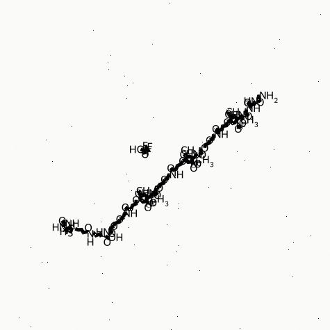 COc1cc(C(C)NC(=O)CNC(=O)CNC(=O)CN)c([N+](=O)[O-])cc1OCCCC(=O)NCCOCCOCC(=O)NC(C)c1cc(OC)c(OCCCC(=O)NCCOCCOCC(=O)NC(C)c2cc(OC)c(OCCCC(=O)NCCOCCOCC(=O)N[C@@H](CCCCNC(=O)CCCC[C@@H]3SC[C@@H]4NC(=O)N[C@@H]43)C(=O)O)cc2[N+](=O)[O-])cc1[N+](=O)[O-].O=C(O)C(F)(F)F